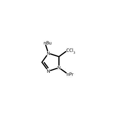 CCCCN1C=NN(CCC)C1C(Cl)(Cl)Cl